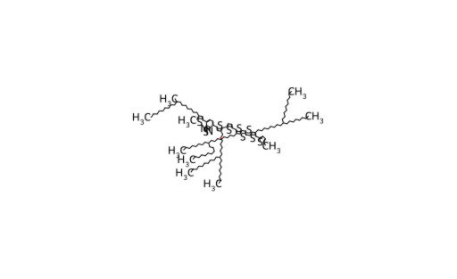 CCCCCCCCCCC(C)CCCCCCCc1cc(-c2ccc(-c3cc(CCCCCCCC(CCCCCCCC)CCCCCCCCCC)c(-c4ccc(-c5sc6c(sc7c8sc(-c9ccc(C)s9)c(CCCCCCCCC(CCCCCCCC)CCCCCCCCCC)c8sc67)c5CCCCCCCCC(CCCCCCCC)CCCCCCCCCC)s4)s3)c3nsnc23)sc1C